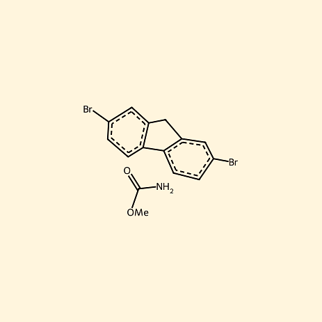 Brc1ccc2c(c1)Cc1cc(Br)ccc1-2.COC(N)=O